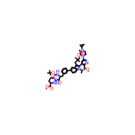 CCn1c(-c2cc(N3CCN(C4CC4)CC3)cnc2[C@H](C)OC)c(CC(C)(C)COC(C)=O)c2cc(-c3cccc(CC(NC(=O)OC(C)(C)C)C(=O)N4CCCC(C(=O)OC)N4)c3)ccc21